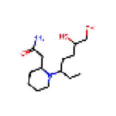 CCC(CCC(O)CO)N1CCCCC1CC(N)=O